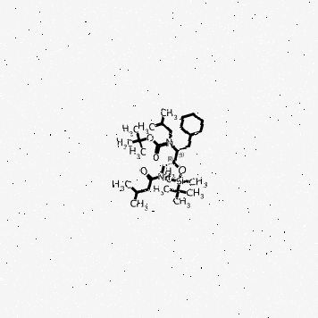 CC(C)CC(=O)NC[C@@H](O[Si](C)(C)C(C)(C)C)[C@H](CC1CCCCC1)N(CC(C)C)C(=O)OC(C)(C)C